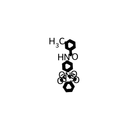 Cc1cccc(C(=O)Nc2ccc(N3S(=O)(=O)c4ccccc4S3(=O)=O)cc2)c1